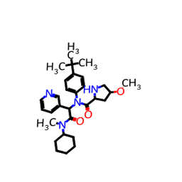 COC1CNC(C(=O)N(c2ccc(C(C)(C)C)cc2)C(C(=O)N(C)C2CCCCC2)c2cccnc2)C1